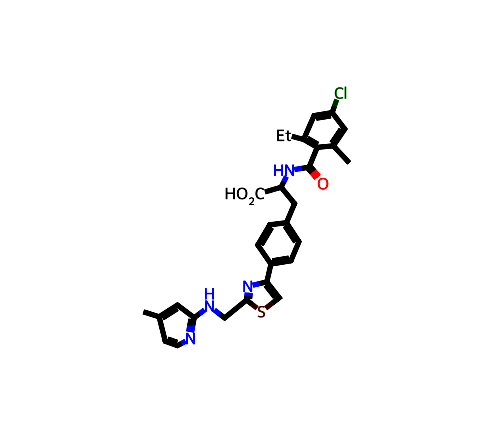 CCc1cc(Cl)cc(C)c1C(=O)NC(Cc1ccc(-c2csc(CNc3cc(C)ccn3)n2)cc1)C(=O)O